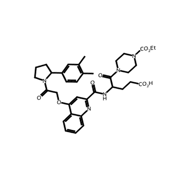 CCOC(=O)N1CCN(C(=O)C(CCC(=O)O)NC(=O)c2cc(OCC(=O)N3CCCC3c3ccc(C)c(C)c3)c3ccccc3n2)CC1